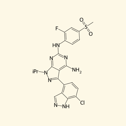 CC(C)n1nc(-c2ccc(Cl)c3[nH]ncc23)c2c(N)nc(Nc3ccc(S(C)(=O)=O)cc3F)nc21